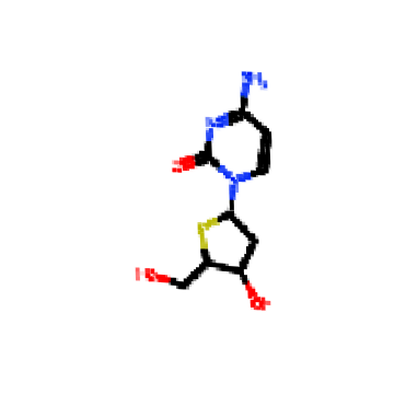 Nc1ccn([C@H]2C[C@@H](O)C(CO)S2)c(=O)n1